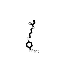 C=CC(=O)OCCCCOC1CCC(CCCCC)CC1